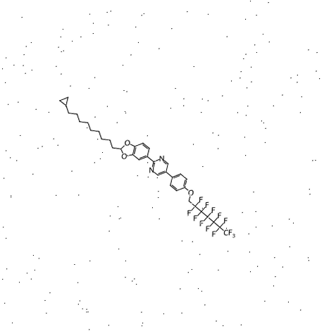 FC(F)(F)C(F)(F)C(F)(F)C(F)(F)C(F)(F)C(F)(F)COc1ccc(-c2cnc(-c3ccc4c(c3)OC(CCCCCCCCCC3CC3)O4)nc2)cc1